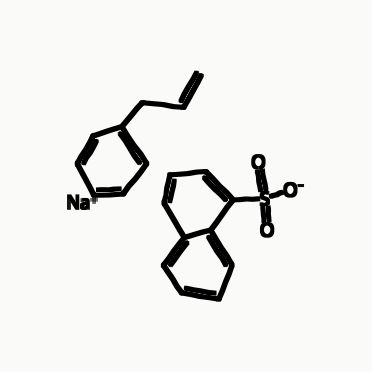 C=CCc1ccccc1.O=S(=O)([O-])c1cccc2ccccc12.[Na+]